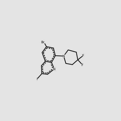 FC1(F)CCN(c2cc(Br)cc3cc(I)cnc23)CC1